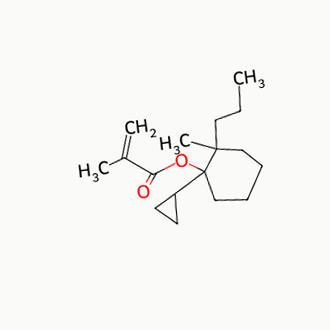 C=C(C)C(=O)OC1(C2CC2)CCCCC1(C)CCC